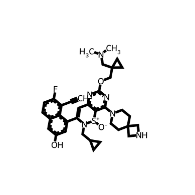 C#Cc1c(F)ccc2cc(O)cc(C3=Cc4nc(OCC5(CN(C)C)CC5)nc(N5CCC6(CC5)CNC6)c4[S+]([O-])N3CC3CC3)c12